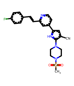 CS(=O)(=O)N1CCN(c2[nH]c(-c3ccnc(C=Cc4ccc(F)cc4)c3)cc2C#N)CC1